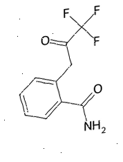 NC(=O)c1ccccc1CC(=O)C(F)(F)F